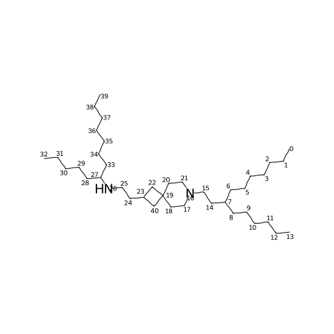 CCCCCCCC(CCCCCC)CCN1CCC2(CC1)CC(CCNC(CCCCC)CCCCCCC)C2